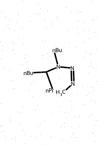 CCCCC(CCC)N(CCCC)/N=N\C